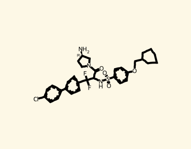 N[C@@H]1CCN(C(=O)C(NS(=O)(=O)c2ccc(OCC3CCCCC3)cc2)C(F)(F)c2ccc(-c3ccc(Cl)cc3)cc2)C1